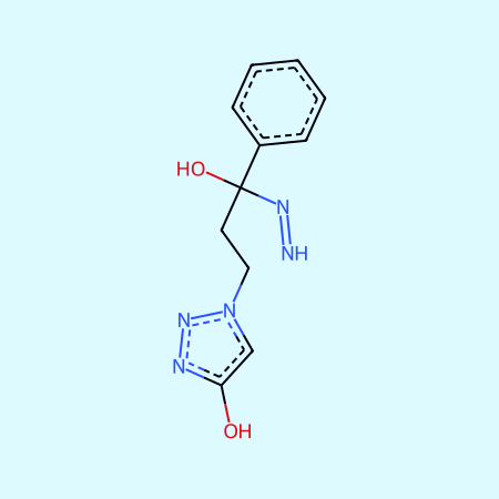 N=NC(O)(CCn1cc(O)nn1)c1ccccc1